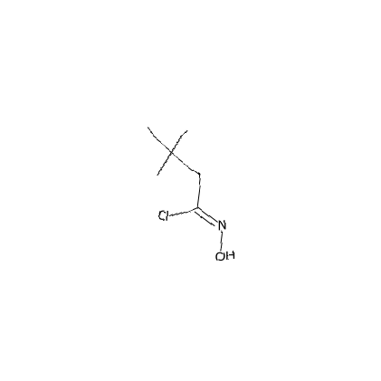 CC(C)(C)CC(Cl)=NO